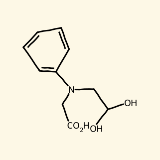 O=C(O)CN(CC(O)O)c1ccccc1